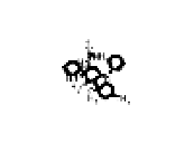 CC1CCC(C)(C2C(NC3C=CCCC3)CC(NC(N)N)C(C)(C3(C)CC=CCC3)C2C)CC1